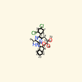 CCc1nc(-c2ccc(Cl)cc2Cl)c(CC)nc1NC1c2ccccc2CC1OC(=O)COC